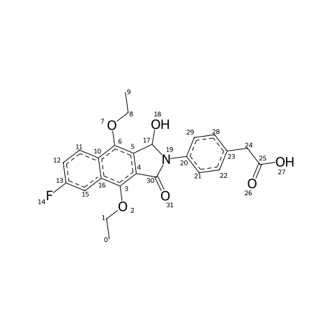 CCOc1c2c(c(OCC)c3ccc(F)cc13)C(O)N(c1ccc(CC(=O)O)cc1)C2=O